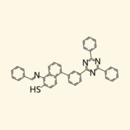 Sc1ccc2c(-c3cccc(-c4nc(-c5ccccc5)nc(-c5ccccc5)n4)c3)cccc2c1/N=C/c1ccccc1